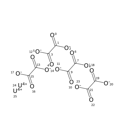 O=C([O-])C(=O)[O-].O=C([O-])C(=O)[O-].O=C([O-])C(=O)[O-].O=C([O-])C(=O)[O-].[U+4].[U+4]